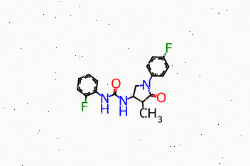 CC1C(=O)N(c2ccc(F)cc2)CC1NC(=O)Nc1ccccc1F